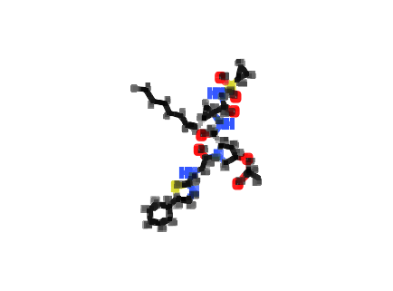 CCCCCC/C=C\[C@@H]1C[C@]1(NC(=O)[C@@H]1C[C@@H](OC(C)=O)CN1C(=O)CNc1ncc(-c2ccccc2)s1)C(=O)NS(=O)(=O)C1CC1